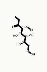 CCC(=O)[C@H](OO)[C@@H](O)[C@H](O)[C@H](O)COO